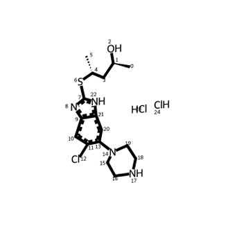 C[C@H](O)C[C@@H](C)Sc1nc2cc(Cl)c(N3CCNCC3)cc2[nH]1.Cl.Cl